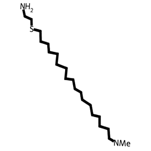 CNCCCCCCCCCCCCCCCCCCSCCN